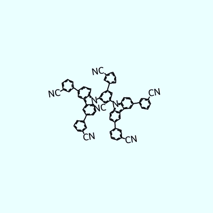 N#Cc1cccc(-c2cc(-n3c4ccc(-c5cccc(C#N)c5)cc4c4cc(-c5cccc(C#N)c5)ccc43)c(C#N)c(-n3c4ccc(-c5cccc(C#N)c5)cc4c4cc(-c5cccc(C#N)c5)ccc43)c2)c1